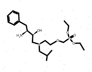 CCOP(=O)(COCCN(CC(C)C)C[C@H](O)[C@@H](N)Cc1ccccc1)OCC